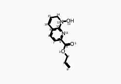 C=CCOC(=O)c1ccc2c(n1)N(O)CC=C2